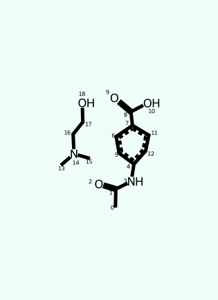 CC(=O)Nc1ccc(C(=O)O)cc1.CN(C)CCO